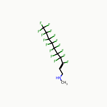 CNCC=C(F)C(F)(F)C(F)(F)C(F)(F)C(F)(F)C(F)(F)C(F)(F)C(F)(F)F